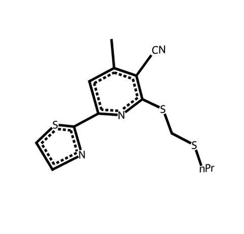 CCCSCSc1nc(-c2nccs2)cc(C)c1C#N